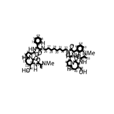 CN[C@@H](C)C(=O)N[C@@H]1C(=O)N2[C@@H](CC[C@@H]1CO)CC[C@H]2C(=O)N[C@H](C(=O)NCCCCCCCCNC(=O)[C@@H](NC(=O)[C@@H]1CC[C@@H]2CC[C@H](CO)[C@H](NC(=O)[C@H](C)NC)C(=O)N21)c1ccccc1)c1ccccc1